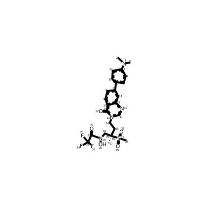 CN(C)c1ccc(-c2ccc3c(=O)n(CC[C@](C)(CN(O)C(=O)C(F)(F)F)S(C)(=O)=O)cnc3c2)cc1